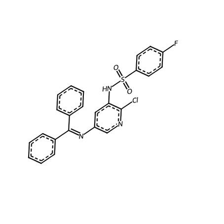 O=S(=O)(Nc1cc(N=C(c2ccccc2)c2ccccc2)cnc1Cl)c1ccc(F)cc1